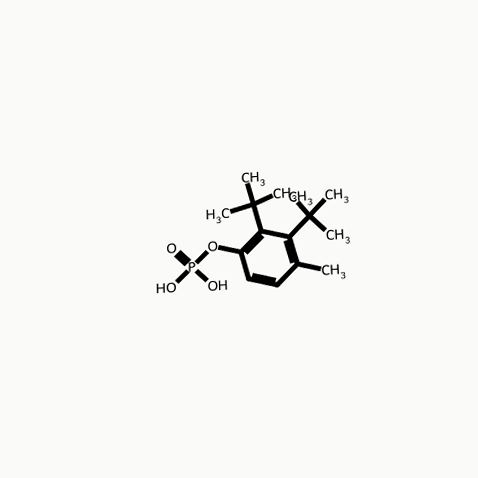 Cc1ccc(OP(=O)(O)O)c(C(C)(C)C)c1C(C)(C)C